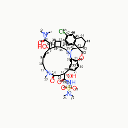 CN(C)C(=O)C[C@@]1(O)C=CCCN(C)C(=O)C[C@](O)(C(=O)NS(=O)(=O)N(C)C)c2ccc3c(c2)N(C[C@@H]2CC[C@H]21)C[C@@]1(CCCc2cc(Cl)ccc21)CO3